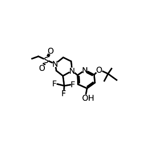 CCS(=O)(=O)N1CCN(c2cc(O)cc(OC(C)(C)C)n2)C(C(F)(F)F)C1